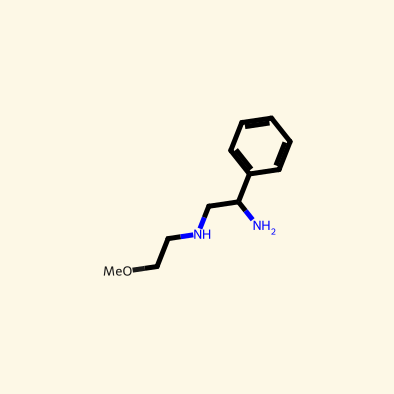 COCCNCC(N)c1ccccc1